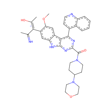 COc1cc2c(cc1/C(C(C)=N)=C(\C)O)[nH]c1nc(C(=O)N3CCC(N4CCOCC4)CC3)nc(-c3ccnc4ccccc34)c12